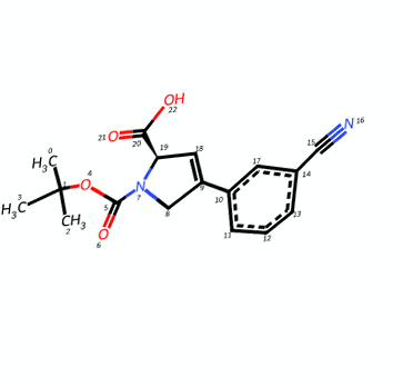 CC(C)(C)OC(=O)N1CC(c2cccc(C#N)c2)=C[C@@H]1C(=O)O